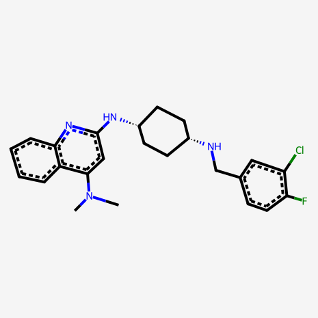 CN(C)c1cc(N[C@H]2CC[C@@H](NCc3ccc(F)c(Cl)c3)CC2)nc2ccccc12